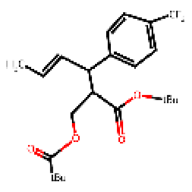 CC=CC(c1ccc(C(F)(F)F)cc1)C(COC(=O)C(C)(C)C)C(=O)OC(C)(C)C